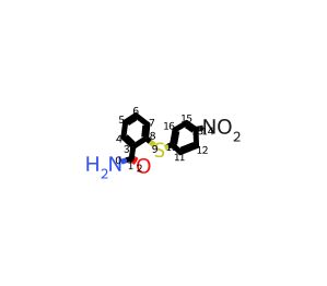 NC(=O)c1ccccc1Sc1ccc([N+](=O)[O-])cc1